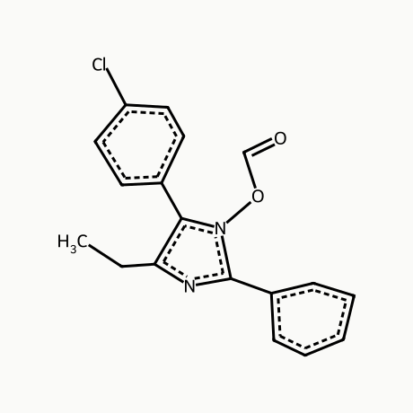 CCc1nc(-c2ccccc2)n(OC=O)c1-c1ccc(Cl)cc1